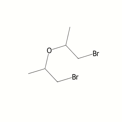 CC(CBr)OC(C)CBr